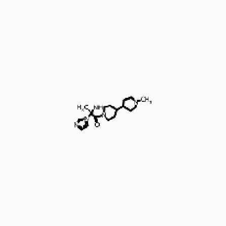 CN1CCC(C2CCN(C(=O)[C@@](C)(N)n3ccnc3)CC2)CC1